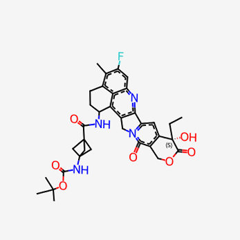 CC[C@@]1(O)C(=O)OCc2c1cc1n(c2=O)Cc2c-1nc1cc(F)c(C)c3c1c2C(NC(=O)C12CC(NC(=O)OC(C)(C)C)(C1)C2)CC3